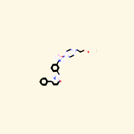 COCCCN1CCN(c2nc(-c3cccc(Cn4nc(-c5cc(F)cc(F)c5)ccc4=O)c3)no2)CC1